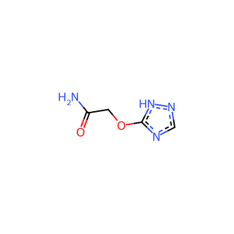 NC(=O)COc1ncn[nH]1